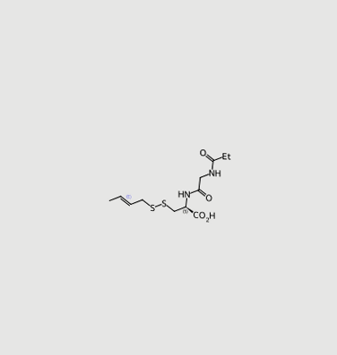 C/C=C/CSSC[C@@H](NC(=O)CNC(=O)CC)C(=O)O